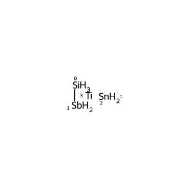 [SiH3][SbH2].[SnH2].[Ti]